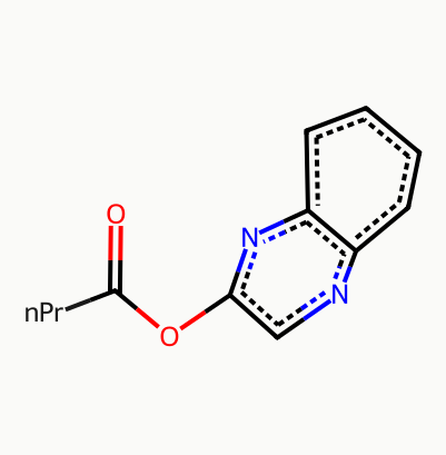 CCCC(=O)Oc1cnc2ccccc2n1